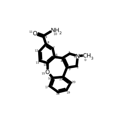 CN1CC2=C(C1)c1cc(C(N)=O)ccc1Oc1ccccc12